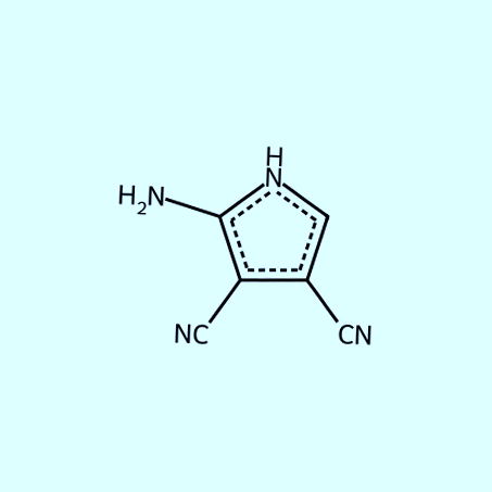 N#Cc1c[nH]c(N)c1C#N